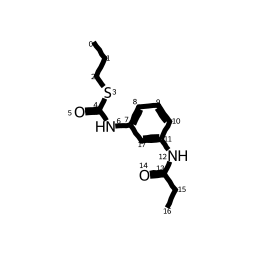 CCCSC(=O)Nc1cccc(NC(=O)CC)c1